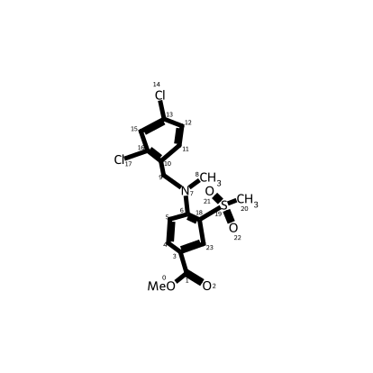 COC(=O)c1ccc(N(C)Cc2ccc(Cl)cc2Cl)c(S(C)(=O)=O)c1